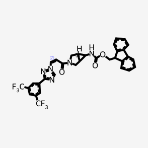 O=C(NC1C2CN(C(=O)/C=C\n3cnc(-c4cc(C(F)(F)F)cc(C(F)(F)F)c4)n3)C[C@H]21)OCC1c2ccccc2-c2ccccc21